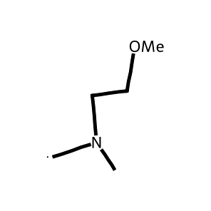 [CH2]N(C)CCOC